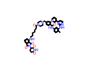 Cc1ccc(NC(=O)c2ccc(CN3CCN(C(=O)CCCCCCNc4cccc5c4C(=O)N(C4CCC(=O)NC4=O)C5=O)CC3)cc2)cc1Nc1nccc(-c2cccnc2)n1